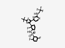 CC(C)(C)c1nc(-c2cccc(NS(=O)(=O)c3cc(F)ccc3F)c2F)c(-c2ccnc(NCC(F)(F)F)n2)s1